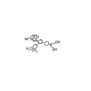 CC1(C)CC=C(c2cc(C3CCC(N(CCO)CCO)CC3)ccc2NC(=O)C2=NC(C#N)CN2)CC1